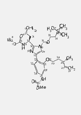 C=CC[C@H](NC(=O)OC(C)(C)C)c1nc(-c2ccc(NC(=O)OC)cc2OCCC(C)C=C)cn1COCC[Si](C)(C)C